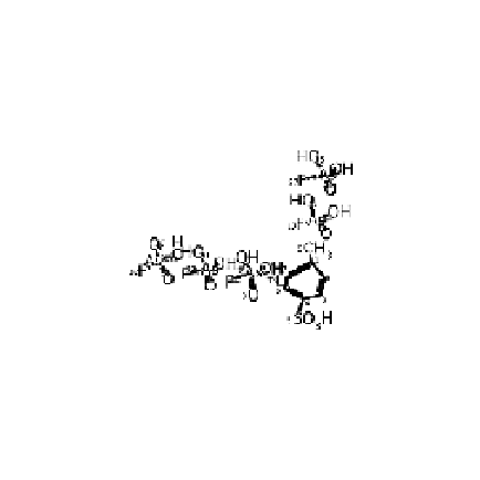 Cc1ccc(S(=O)(=O)O)cc1.O=[As](O)(O)F.O=[As](O)(O)F.O=[As](O)(O)F.O=[As](O)(O)F.O=[As]([O-])(O)F.[Li+]